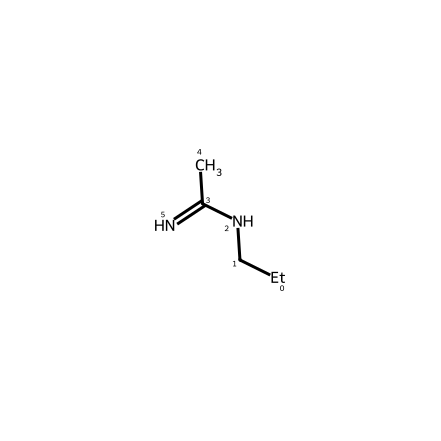 CCCNC(C)=N